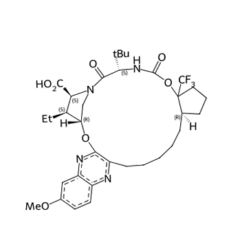 CC[C@@H]1[C@@H]2CN(C(=O)[C@H](C(C)(C)C)NC(=O)OC3(C(F)(F)F)CCC[C@H]3CCCCCc3nc4ccc(OC)cc4nc3O2)[C@@H]1C(=O)O